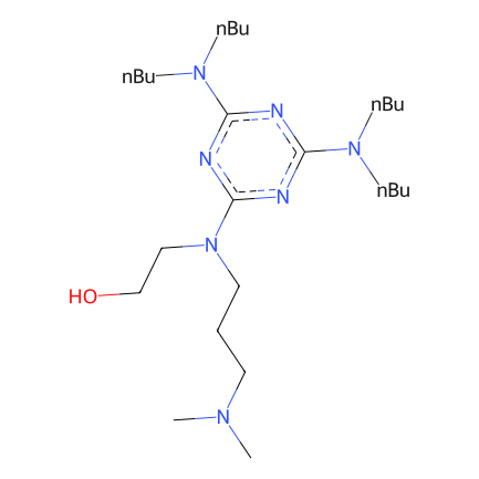 CCCCN(CCCC)c1nc(N(CCO)CCCN(C)C)nc(N(CCCC)CCCC)n1